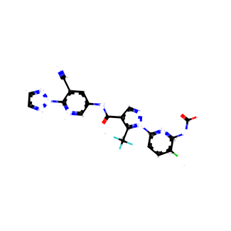 N#Cc1cc(NC(=O)c2cnn(-c3ccc(Cl)c(NC(=O)O)n3)c2C(F)(F)F)cnc1-n1nccn1